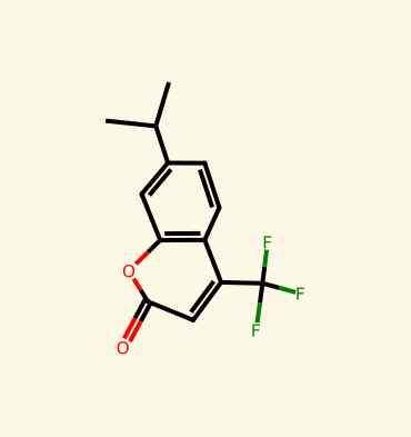 CC(C)c1ccc2c(C(F)(F)F)cc(=O)oc2c1